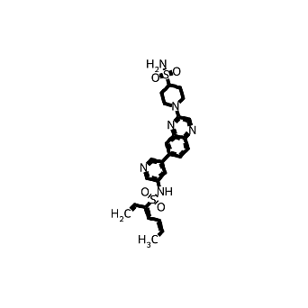 C=C/C(=C/C=C\C)S(=O)(=O)Nc1cncc(-c2ccc3ncc(N4CCC(S(N)(=O)=O)CC4)nc3c2)c1